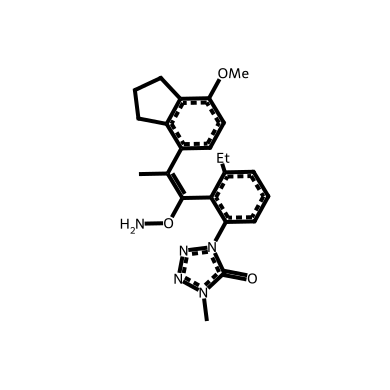 CCc1cccc(-n2nnn(C)c2=O)c1/C(ON)=C(/C)c1ccc(OC)c2c1CCC2